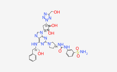 NS(=O)(=O)c1cccc(NC(=O)N[C@@H]2CCN(c3nc(N[C@H](CO)Cc4ccccc4)c4ncn([C@@H]5C[C@H](n6nnc(CO)n6)[C@@H](O)[C@H]5O)c4n3)C2)c1